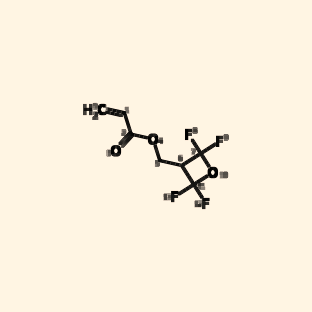 C=CC(=O)OCC1C(F)(F)OC1(F)F